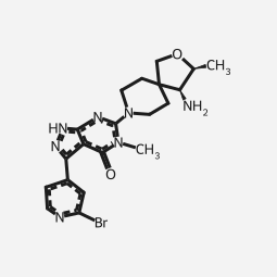 C[C@@H]1OCC2(CCN(c3nc4[nH]nc(-c5ccnc(Br)c5)c4c(=O)n3C)CC2)[C@@H]1N